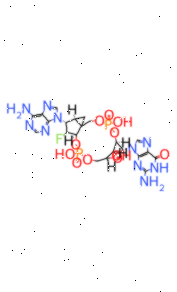 Nc1nc2c(ncn2[C@@H]2O[C@@H]3COP(=O)(O)O[C@H]4[C@@H](F)[C@H](n5cnc6c(N)ncnc65)[C@H]5CC54COP(=O)(O)O[C@@H]2[C@@H]3O)c(=O)[nH]1